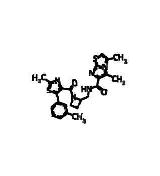 Cc1cccc(-c2sc(C)nc2C(=O)N2CCC2CNC(=O)c2nc3scc(C)n3c2C)c1